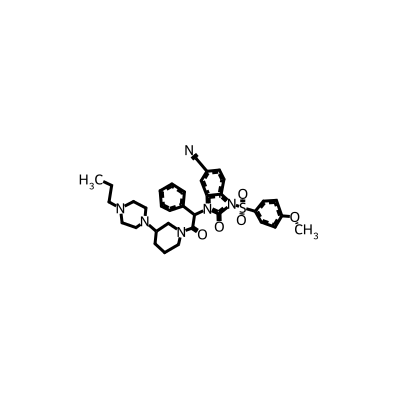 CCCN1CCN(C2CCCN(C(=O)C(c3ccccc3)n3c(=O)n(S(=O)(=O)c4ccc(OC)cc4)c4ccc(C#N)cc43)C2)CC1